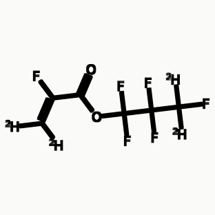 [2H]C([2H])=C(F)C(=O)OC(F)(F)C(F)(F)C([2H])([2H])F